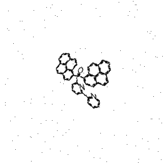 O=P(c1cccc(-c2ccccn2)n1)(c1ccc2ccc3cccc4ccc1c2c34)c1ccc2ccc3cccc4ccc1c2c34